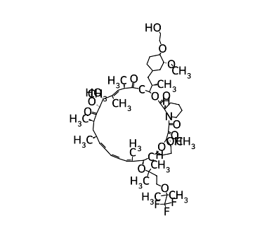 CO[C@@H]1CC(C[C@@H](C)C2CC(=O)[C@H](C)/C=C(\C)[C@@H](O)[C@@H](OC)C(=O)[C@H](C)C[C@H](C)/C=C/C=C/C=C(\C)[C@H](OC(C)(C)CCOC(C)(C)C(F)(F)F)C[C@@H]3CC[C@@H](C)[C@@](O)(O3)C(=O)C(=O)N3CCCC[C@H]3C(=O)O2)CC[C@H]1OCCO